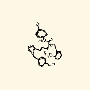 N#Cc1ccc(Cn2cncc2CCCN(Cc2ccccc2C(F)(F)F)C(=S)Nc2ccc(Br)cc2)cc1